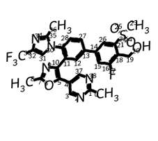 Cc1ncc(-c2oc(C)nc2-c2cc(-c3cc(F)c(CO)c(S(C)(=O)=O)c3)ccc2-n2cc(C(F)(F)F)nc2C)cn1